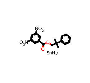 CC(C)(COC(=O)c1cc([N+](=O)[O-])cc([N+](=O)[O-])c1)c1ccccc1.[SnH2]